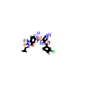 CCn1c(=O)n(CCC2CC2)c(=O)c2cc(NCOC[C@@H]3CNC[C@H]3NC(=O)c3ccc(C)c(Cl)c3)ccc21